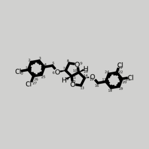 Clc1ccc(CO[C@H]2CO[C@H]3[C@@H]2OC[C@H]3OCc2ccc(Cl)c(Cl)c2)cc1Cl